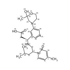 Cc1ccn(C(CN[C@@H](CC(=O)O)c2cncc(N3CCOC(C)(C)C3)c2)CC(C)C)c(=O)c1